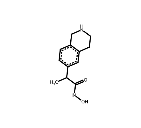 CC(C(=O)NO)c1ccc2c(c1)CCNC2